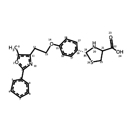 Cc1oc(-c2ccccc2)nc1CCOc1ccc([C@@H]2NC(C(=O)O)CS2)cc1